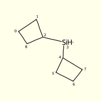 C1CC([SiH]C2CCC2)C1